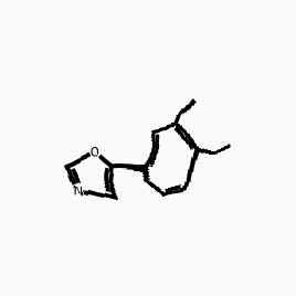 Cc1ccc(-c2cnco2)cc1C